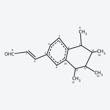 CC1c2ccc(/C=C/C=O)cc2C(C)C(C)C1C